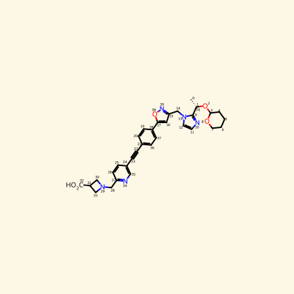 C[C@H](OC1CCCCO1)c1nccn1Cc1cc(-c2ccc(C#Cc3ccc(CN4CC(C(=O)O)C4)nc3)cc2)on1